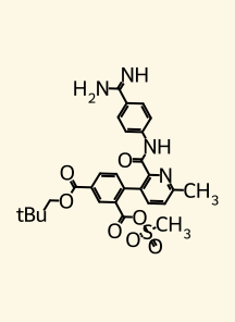 Cc1ccc(-c2ccc(C(=O)OCC(C)(C)C)cc2C(=O)OS(C)(=O)=O)c(C(=O)Nc2ccc(C(=N)N)cc2)n1